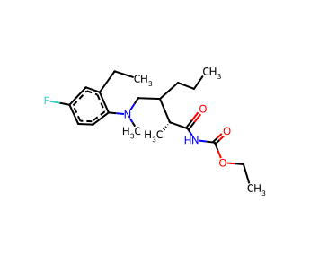 CCCC(CN(C)c1ccc(F)cc1CC)[C@@H](C)C(=O)NC(=O)OCC